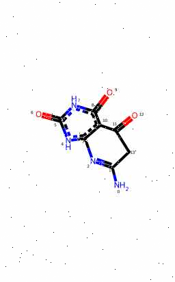 NC1=Nc2[nH]c(=O)[nH]c(=O)c2C(=O)C1